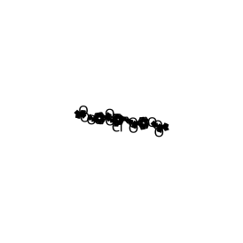 C=C(C)C(=O)OCOc1ccc(C(=O)OCCc2ccc(OC(=O)c3ccc(OCOC(=O)C(=C)C)cc3)c(Cl)c2)cc1